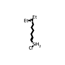 CCN(CC)CCCCC=C[SiH2]Cl